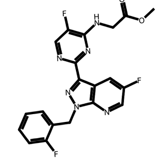 COC(=O)CNc1nc(-c2nn(Cc3ccccc3F)c3ncc(F)cc23)ncc1F